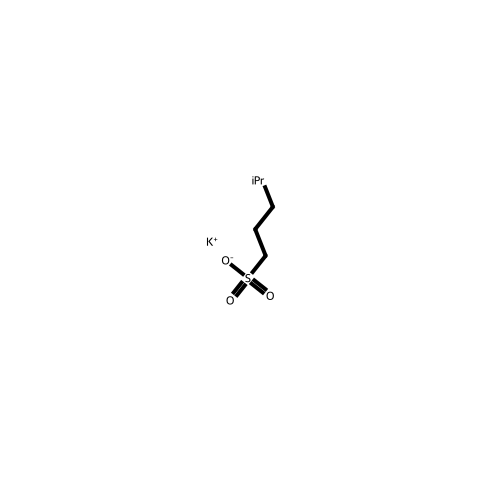 CC(C)CCCS(=O)(=O)[O-].[K+]